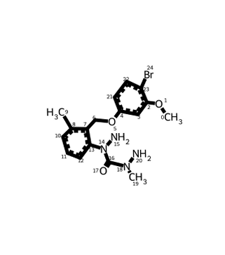 COc1cc(OCc2c(C)cccc2N(N)C(=O)N(C)N)ccc1Br